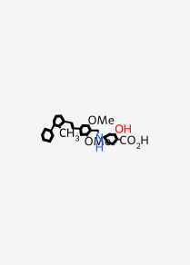 COc1cc(C=Cc2cccc(-c3ccccc3)c2C)cc(OC)c1CNc1ccc(C(=O)O)c(O)c1